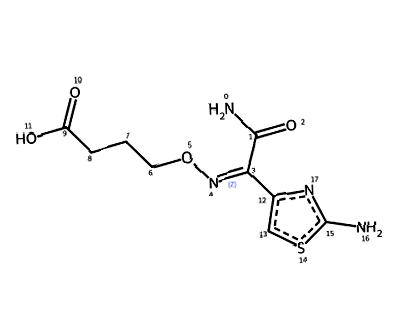 NC(=O)/C(=N\OCCCC(=O)O)c1csc(N)n1